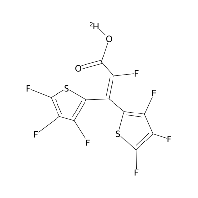 [2H]OC(=O)C(F)=C(c1sc(F)c(F)c1F)c1sc(F)c(F)c1F